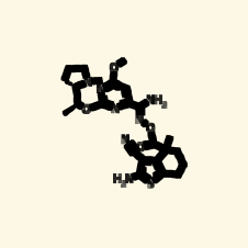 COc1cc(/C(N)=N/OC(=O)C2(C)CCCc3sc(N)c(C#N)c32)nc(O[C@@H](C)[C@@H]2CCCN2C)n1